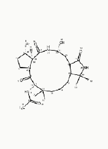 CC(C)[C@H]1CCN2C(=O)[C@@H](NC(=O)C(F)(F)F)C(C)(C)CCCC3C(C[C@@H](C#N)NC(=O)[C@H]12)C(=O)NC3(F)F